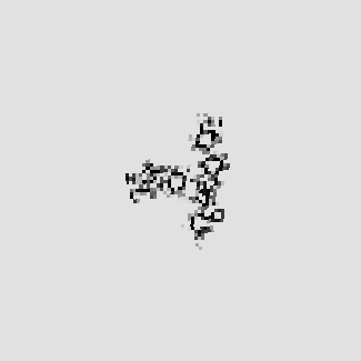 CCC(C)c1ccc(-c2ccc(Cc3nc(-c4ccc(Cl)cc4Cl)cn3Cc3ccc(N4CC(=O)NS4(=O)=O)cc3)cc2)cc1